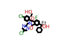 CCC(O)(c1cc(F)c2c(c1)C(=O)N(Cc1ncc(Cl)cn1)[C@@]2(OCCO)c1ccc(Cl)cc1)C1CCCCC1